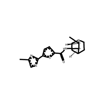 Cc1csc(-c2ccc(C(=O)N[C@@H]3C4CCN(CC4)[C@H]3C)s2)n1